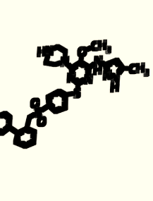 COc1c(Nc2cc(C)[nH]n2)nc(Sc2ccc(S(=O)(=O)Cc3ccccc3-c3ccccc3)cc2)nc1N1CCNCC1